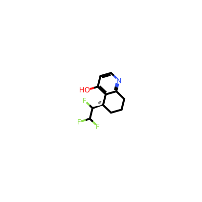 Oc1ccnc2c1[C@H](C(F)C(F)F)CCC2